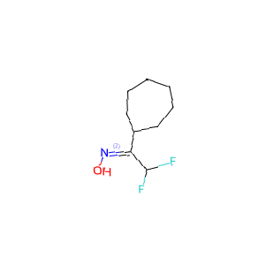 O/N=C(\C(F)F)C1CCCCCC1